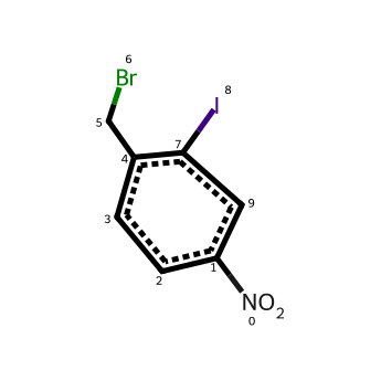 O=[N+]([O-])c1ccc(CBr)c(I)c1